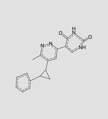 Cc1nnc(-c2c[nH]c(=O)[nH]c2=O)cc1C1CC1c1ccccc1